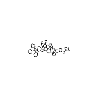 CCOC(=O)c1cn(C2CC2)c2c(OOC(F)F)c(-c3cc4c(s3)CCN(C(c3ccccc3)(c3ccccc3)c3ccccc3)C4)ccc2c1=O